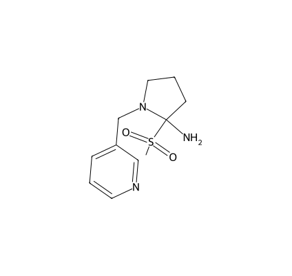 CS(=O)(=O)C1(N)CCCN1Cc1cccnc1